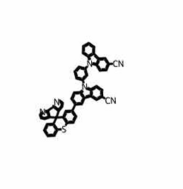 N#Cc1ccc2c(c1)c1ccccc1n2-c1cccc(-n2c3ccc(C#N)cc3c3cc(-c4ccc5c(c4)C4(c6ccccc6S5)c5cccnc5-c5ncccc54)ccc32)c1